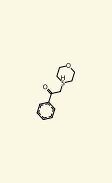 O=C(C[SH]1CCOCC1)c1ccccc1